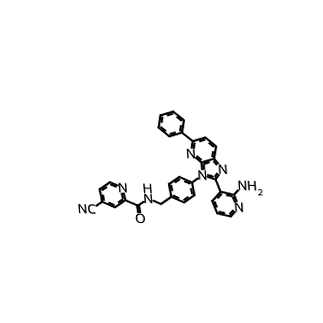 N#Cc1ccnc(C(=O)NCc2ccc(-n3c(-c4cccnc4N)nc4ccc(-c5ccccc5)nc43)cc2)c1